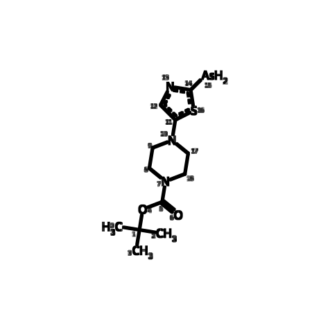 CC(C)(C)OC(=O)N1CCN(c2cnc([AsH2])s2)CC1